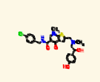 CN(Cc1cc2c(=O)c(C(=O)NCc3ccc(Cl)cc3)cn(C)c2s1)C[C@@H](O)c1ccc(O)cc1